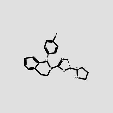 Fc1ccc([C@H]2c3ccccc3CCN2C2=NC[C@H]([C@H]3CCCN3)O2)cc1